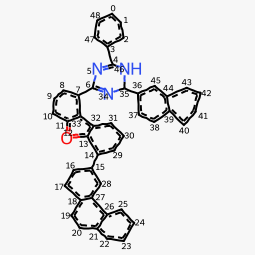 c1ccc(C2=NC(c3cccc4oc5c(-c6ccc7ccc8ccccc8c7c6)cccc5c34)=NC(c3ccc4ccccc4c3)N2)cc1